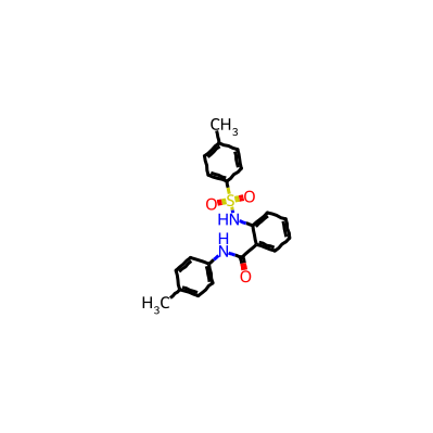 Cc1ccc(NC(=O)c2ccccc2NS(=O)(=O)c2ccc(C)cc2)cc1